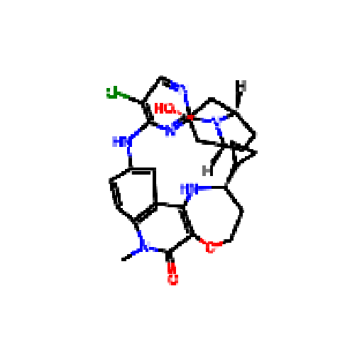 Cn1c(=O)c2c(c3cc(Nc4nc(N5[C@@H]6CC[C@H]5C[C@@H](O)C6)ncc4Cl)ccc31)N[C@@H](C1CC1)CCO2